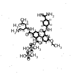 CCOc1ccc(-c2ccc(C(=O)NC(CCN)CC(C)C)cc2C(=O)O)c(C(=O)Nc2ccc(C(=N)N)cc2)n1.CS(=O)(=O)O.CS(=O)(=O)O